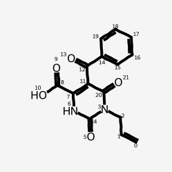 C=CCn1c(=O)[nH]c(C(=O)O)c(C(=O)c2ccccc2)c1=O